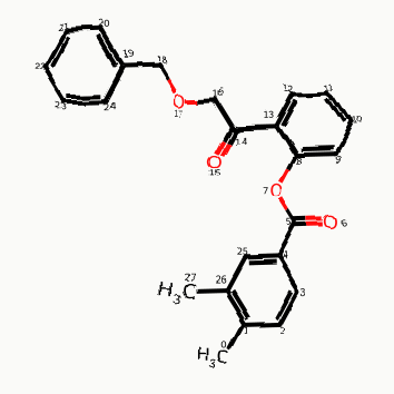 Cc1ccc(C(=O)Oc2ccccc2C(=O)COCc2ccccc2)cc1C